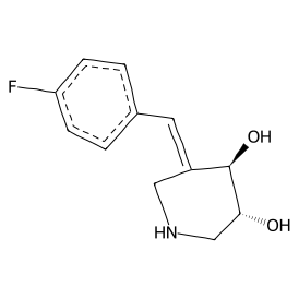 O[C@@H]1CNC/C(=C\c2ccc(F)cc2)[C@H]1O